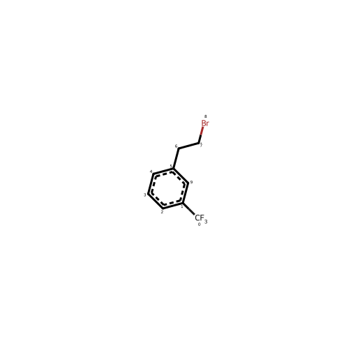 FC(F)(F)c1cccc(C[CH]Br)c1